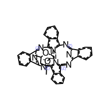 CCCC(C)O[Si]1(OC)n2c3c4ccccc4c2/N=C2N=C(/N=c4/c5ccccc5/c(n41)=N/C1=NC(=N\3)/c3ccccc31)c1ccccc1\2